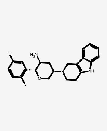 N[C@H]1C[C@@H](N2CCc3[nH]c4ccccc4c3C2)CO[C@@H]1c1cc(F)ccc1F